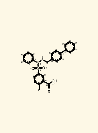 Cc1ccc(S(=O)(=O)N(SCc2ccc(-c3ccccc3)cc2)c2ccccc2)cc1C(=O)O